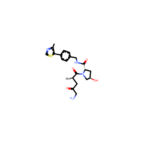 Cc1ncsc1-c1ccc(CNC(=O)[C@@H]2C[C@@H](O)CN2C(=O)[C@@H](CC(=O)CN)C(C)(C)C)cc1